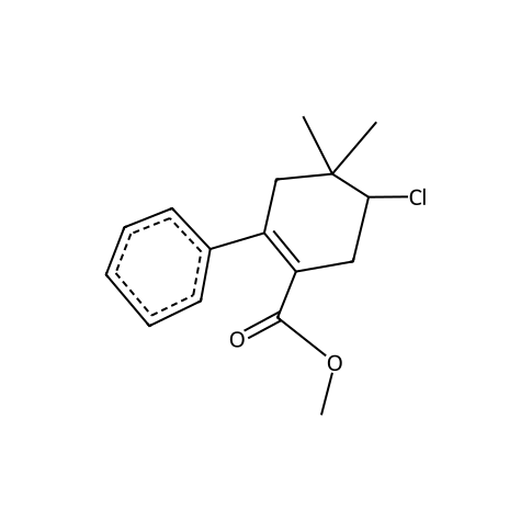 COC(=O)C1=C(c2ccccc2)CC(C)(C)C(Cl)C1